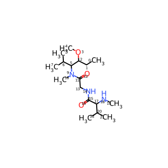 CCC(OC)C(C(C)C)N(C)C(=O)CNC(=O)C(NC)C(C)C